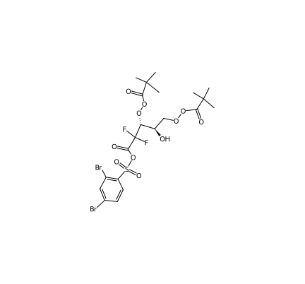 CC(C)(C)C(=O)OOC[C@@H](O)[C@@H](OOC(=O)C(C)(C)C)C(F)(F)C(=O)OS(=O)(=O)c1ccc(Br)cc1Br